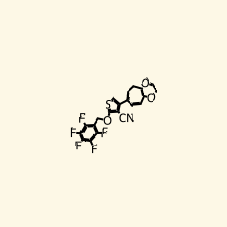 N#Cc1c(C2=CCC3=C(C=C2)OCCO3)csc1OCc1c(F)c(F)c(F)c(F)c1F